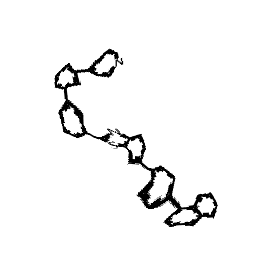 c1cncc(-c2cccc(-c3cccc(-c4nc5ccc(-c6ccc(-c7cccc8ccccc78)cc6)cc5s4)c3)c2)c1